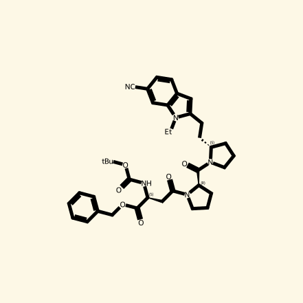 CCn1c(CC[C@@H]2CCCN2C(=O)[C@H]2CCCN2C(=O)C[C@H](NC(=O)OC(C)(C)C)C(=O)OCc2ccccc2)cc2ccc(C#N)cc21